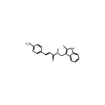 Cc1[nH]c2ccccc2c1CN(C)C(=O)C=Cc1ccc(N)nc1